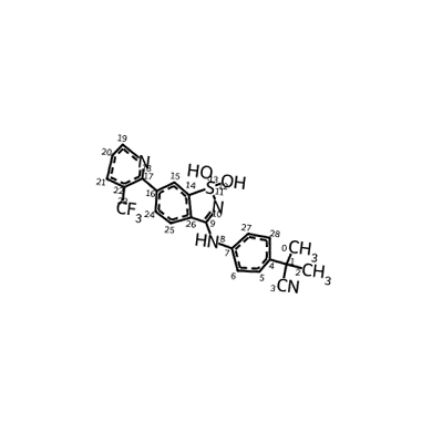 CC(C)(C#N)c1ccc(NC2=NS(O)(O)c3cc(-c4ncccc4C(F)(F)F)ccc32)cc1